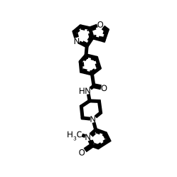 Cn1c(N2CCC(NC(=O)c3ccc(-c4nccc5occc45)cc3)CC2)cccc1=O